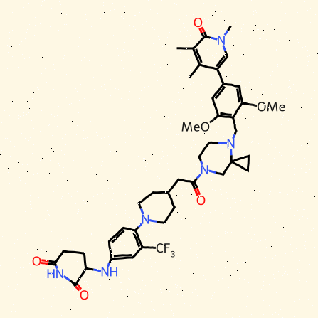 COc1cc(-c2cn(C)c(=O)c(C)c2C)cc(OC)c1CN1CCN(C(=O)CC2CCN(c3ccc(NC4CCC(=O)NC4=O)cc3C(F)(F)F)CC2)CC12CC2